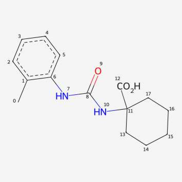 Cc1ccccc1NC(=O)NC1(C(=O)O)CCCCC1